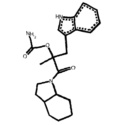 CC(Cc1c[nH]c2ccccc12)(OC(N)=O)C(=O)N1CCC2CCCCC21